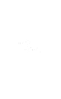 CC(C)C1CCC(O)(CCC2OCCCO2)C(C)C1